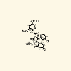 CCOC(=O)c1ccc(NC(=O)[C@@H]2N[C@@H](CC(C)(C)C)[C@]3(C#N)c4c(F)cc(Cl)cc4-c4c(Cl)cccc4[C@@H]23)c(OC)c1